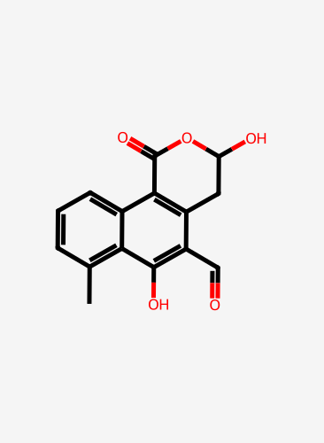 Cc1cccc2c3c(c(C=O)c(O)c12)CC(O)OC3=O